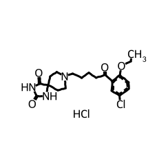 CCOc1ccc(Cl)cc1C(=O)CCCCN1CCC2(CC1)NC(=O)NC2=O.Cl